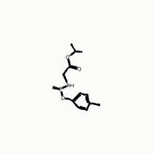 Cc1ccc(OP(C)NCC(=O)OC(C)C)cc1